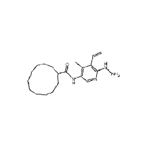 C=Cc1c(NN)ncc(NC(=O)C2CCCCCCCCCC2)c1C